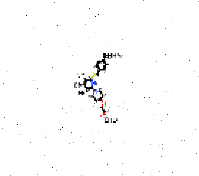 CCc1c(C#N)c(SCc2ccc(CNC(C)=O)cc2)nc(N2CCC(OCCOC=O)CC2)c1C#N